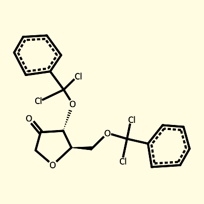 O=C1CO[C@H](COC(Cl)(Cl)c2ccccc2)[C@H]1OC(Cl)(Cl)c1ccccc1